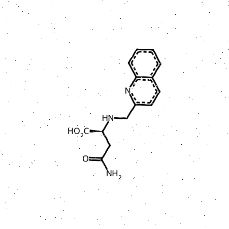 NC(=O)C[C@H](NCc1ccc2ccccc2n1)C(=O)O